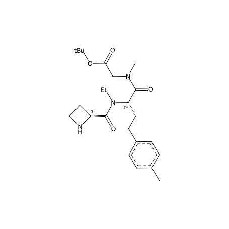 CCN(C(=O)[C@@H]1CCN1)[C@@H](CCc1ccc(C)cc1)C(=O)N(C)CC(=O)OC(C)(C)C